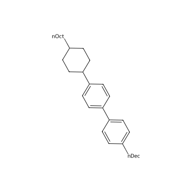 CCCCCCCCCCc1ccc(-c2ccc(C3CCC(CCCCCCCC)CC3)cc2)cc1